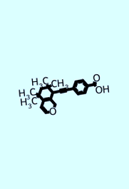 CC1(C)CC(C)(C)C(C#Cc2ccc(C(=O)O)cc2)C2=C1C=COC2